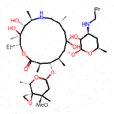 CC[C@H]1OC(=O)[C@H](C)[C@@H](O[C@H]2C[C@@](C)(OC)[C@]3(CO3)[C@H](C)O2)[C@H](C)[C@@H](O[C@@H]2O[C@H](C)C[C@H](NCC(C)C)[C@H]2O)[C@](C)(O)C[C@@H](C)CN[C@H](C)[C@@H](O)[C@]1(C)O